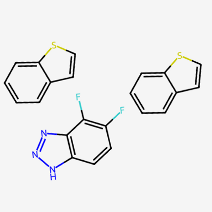 Fc1ccc2[nH]nnc2c1F.c1ccc2sccc2c1.c1ccc2sccc2c1